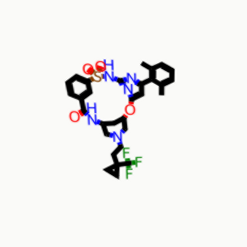 Cc1cccc(C)c1-c1cc2nc(n1)NS(=O)(=O)c1cccc(c1)C(=O)NC1CC(CN(CCC3(C(F)(F)F)CC3)C1)O2